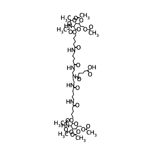 CC(=O)NC1C(OCCCCC(=O)NCCCCC(=O)NCCN(CCNC(=O)CCCCNC(=O)CCCCOC2OC(COC(C)=O)C(OC(C)=O)C(OC(C)=O)C2NC(C)=O)C(=O)CCCC(=O)O)OC(COC(C)=O)C(OC(C)=O)C1OC(C)=O